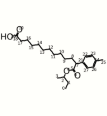 CCC(C)OC(=O)C(CCCCCCCCCCC(=O)O)c1ccc(C)cc1